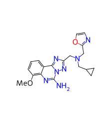 COc1cccc2c1nc(N)n1nc(CN(Cc3ncco3)CC3CC3)nc21